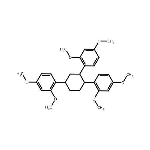 COc1ccc(C2CCC(c3ccc(OC)cc3OC)C(c3ccc(OC)cc3OC)C2)c(OC)c1